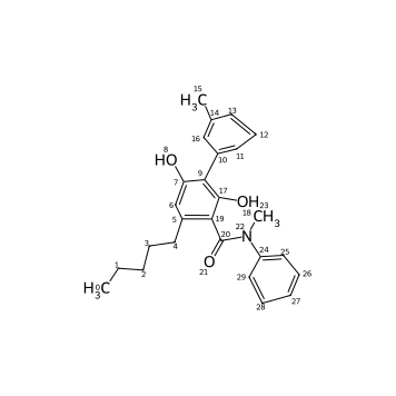 CCCCCc1cc(O)c(-c2cccc(C)c2)c(O)c1C(=O)N(C)c1ccccc1